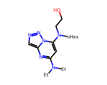 CCCCCCN(CCO)c1cc(N(CC)CC)nc2cnnn12